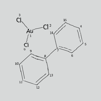 [Cl][Au]([Cl])[Cl].c1ccc(-c2ccccc2)cc1